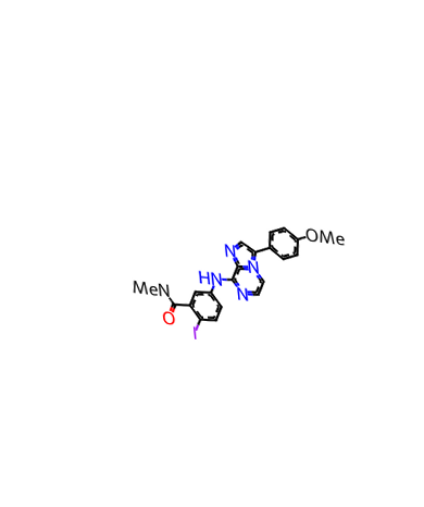 CNC(=O)c1cc(Nc2nccn3c(-c4ccc(OC)cc4)cnc23)ccc1I